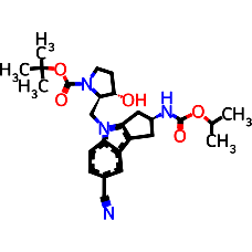 CC(C)OC(=O)N[C@H]1Cc2c(n(C[C@@H]3[C@@H](O)CCN3C(=O)OC(C)(C)C)c3ccc(C#N)cc23)C1